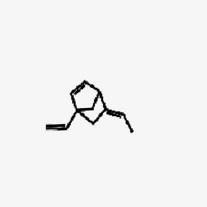 C=CC12C=CC(C1)C(=CC)C2